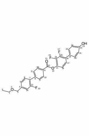 CCOCc1ccc(-c2ccc(C(=O)Oc3ccc(-c4ccc(O)cc4)c(F)c3F)cc2)c(F)c1